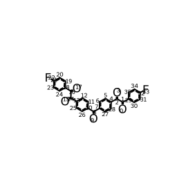 O=C(C(=O)c1ccc(C(=O)c2ccc(C(=O)C(=O)c3ccc(F)cc3)cc2)cc1)c1ccc(F)cc1